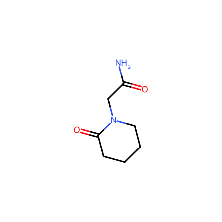 NC(=O)CN1CCCCC1=O